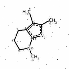 Cc1nn2c(c1C)CCCN2C